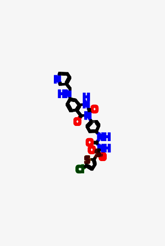 O=C(Nc1ccc(-n2c(=O)[nH]c3cc(NCc4cccnc4)ccc3c2=O)cc1)NS(=O)(=O)c1ccc(Cl)s1